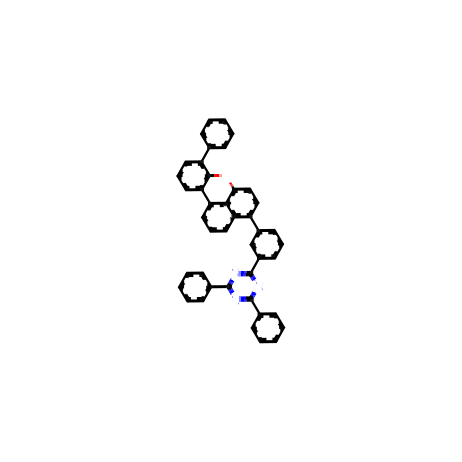 c1ccc(-c2nc(-c3ccccc3)nc(-c3cccc(-c4ccc5c6c(cccc46)-c4cccc(-c6ccccc6)c4O5)c3)n2)cc1